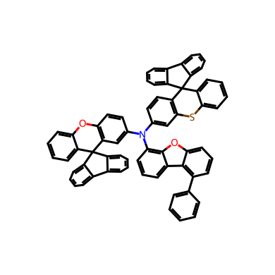 c1ccc(-c2cccc3oc4c(N(c5ccc6c(c5)Sc5ccccc5C65c6ccccc6-c6ccccc65)c5ccc6c(c5)C5(c7ccccc7O6)c6ccccc6-c6ccccc65)cccc4c23)cc1